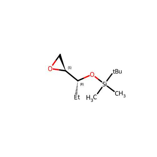 CC[C@@H](O[Si](C)(C)C(C)(C)C)[C@@H]1CO1